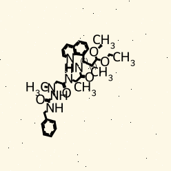 CCOC(OCC)[C@@H](C)[C@H](NC(=O)C(C)NC(=O)CN(C)NC(=O)NCc1ccccc1)c1cccc2cccnc12